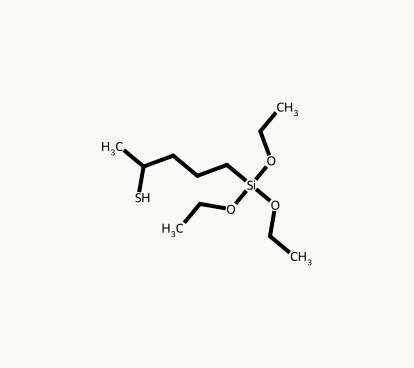 CCO[Si](CCCC(C)S)(OCC)OCC